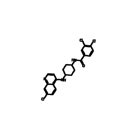 O=C(NC1CCC(Nc2ccnc3cc(Cl)ccc23)CC1)c1ccc(Cl)c(Cl)c1